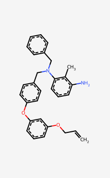 C=CCOc1cccc(Oc2ccc(CN(Cc3ccccc3)c3cccc(N)c3C)cc2)c1